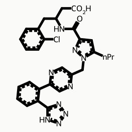 CCCc1cc(C(=O)NC(CC(=O)O)Cc2ccccc2Cl)nn1Cc1cnc(-c2ccccc2-c2nnn[nH]2)cn1